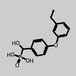 CCc1cccc(Oc2ccc(C(O)P(=O)(O)O)cc2)c1